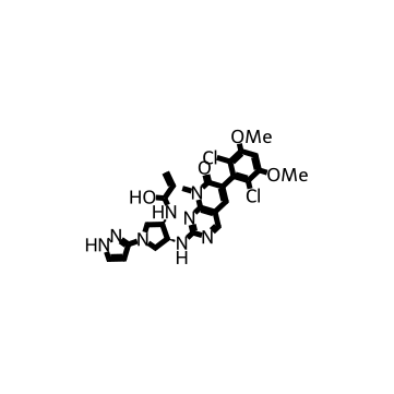 C=CC(O)N[C@H]1CN(c2cc[nH]n2)C[C@H]1Nc1ncc2cc(-c3c(Cl)c(OC)cc(OC)c3Cl)c(=O)n(C)c2n1